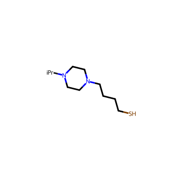 CC(C)N1CCN(CCCCS)CC1